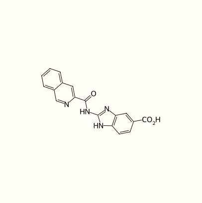 O=C(O)c1ccc2[nH]c(NC(=O)c3cc4ccccc4cn3)nc2c1